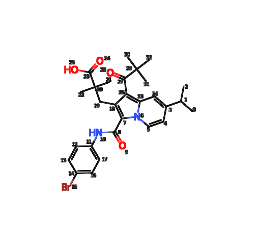 CC(C)c1ccn2c(C(=O)Nc3ccc(Br)cc3)c(CC(C)(C)C(=O)O)c(C(=O)C(C)(C)C)c2c1